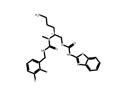 CN(C(=O)NCc1cccc(F)c1F)[C@@H](CCCN)COC(=O)Nc1nc2ccccc2s1